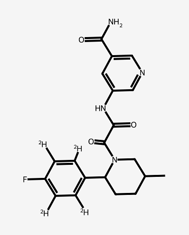 [2H]c1c([2H])c(C2CCC(C)CN2C(=O)C(=O)Nc2cncc(C(N)=O)c2)c([2H])c([2H])c1F